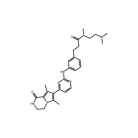 Cc1c(-c2ccnc(Nc3cccc(CCC(=O)N(C)CCN(C)C)c3)n2)c(C)n2c1C(=O)NCC2